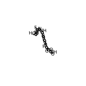 CC[C@@]1(O)CCc2ccc(-n3cc(F)c4cnc(Nc5ccc(N6CCN(C7CCN(C8CN(c9cc%10c(cc9F)C(=O)N(C9CCC(=O)NC9=O)C%10)C8)CC7)CC6)cc5)nc43)nc21